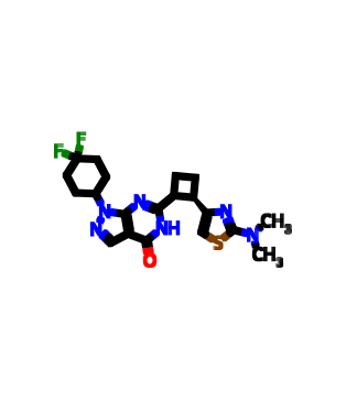 CN(C)c1nc([C@@H]2CCC2c2nc3c(cnn3C3CCC(F)(F)CC3)c(=O)[nH]2)cs1